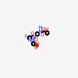 CS(=O)(=O)c1cccc(-n2c(=O)n(C3CCC(NC(=O)[C@H](O)c4ccccc4)CC3)c(=O)c3cc(F)cnc32)c1